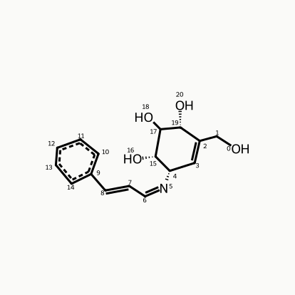 OCC1=C[C@H](/N=C\C=C\c2ccccc2)[C@H](O)C(O)[C@@H]1O